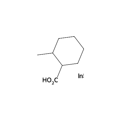 CC1CCCCC1C(=O)O.[In]